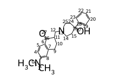 CN(C)c1ccc2c(c1)CCC(CN1CCC(O)(c3ccccc3)CC1)C2=O